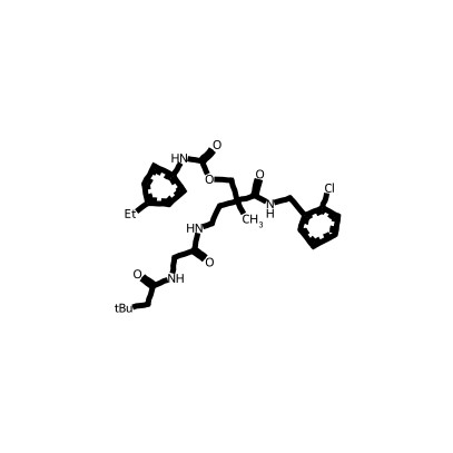 CCc1ccc(NC(=O)OCC(C)(CCNC(=O)CNC(=O)CC(C)(C)C)C(=O)NCc2ccccc2Cl)cc1